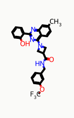 Cc1ccc2c(N3CC(C(=O)NCc4cccc(OC(F)(F)F)c4)C3)nc(-c3ccccc3O)nc2c1